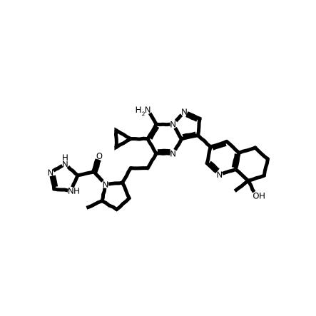 CC1CCC(CCc2nc3c(-c4cnc5c(c4)CCCC5(C)O)cnn3c(N)c2C2CC2)N1C(=O)C1NC=NN1